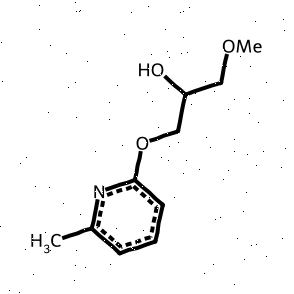 COCC(O)COc1cccc(C)n1